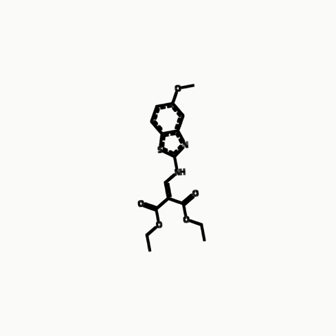 CCOC(=O)C(=CNc1nc2cc(OC)ccc2s1)C(=O)OCC